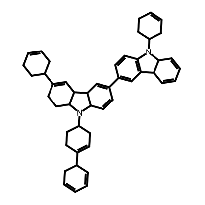 C1=CCC(C2=CCC(N3C4C=CC(c5ccc6c(c5)C5C=CC=CC5N6C5CC=CCC5)=CC4C4C=C(C5CC=CCC5)CCC43)CC2)C=C1